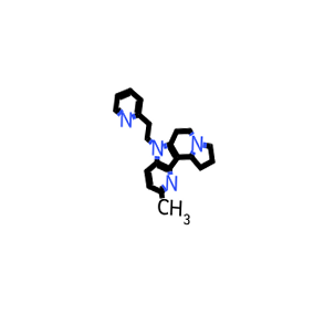 Cc1ccc2c(n1)c1c(n2CCc2ccccn2)CCN2CCCC12